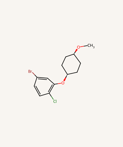 CO[C@H]1CC[C@@H](Oc2cc(Br)ccc2Cl)CC1